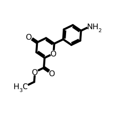 CCOC(=O)c1cc(=O)cc(-c2ccc(N)cc2)o1